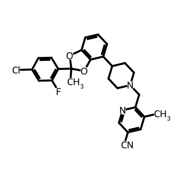 Cc1cc(C#N)cnc1CN1CCC(c2cccc3c2OC(C)(c2ccc(Cl)cc2F)O3)CC1